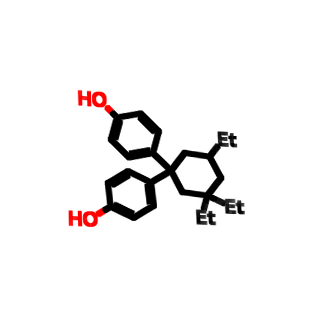 CCC1CC(CC)(CC)CC(c2ccc(O)cc2)(c2ccc(O)cc2)C1